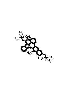 Cc1c(CC(C)(C)C)c2c3ccccc3n3c4c(C)c5ccc(CC(C)(C)C)cc5cc4c4nccc1c4c23